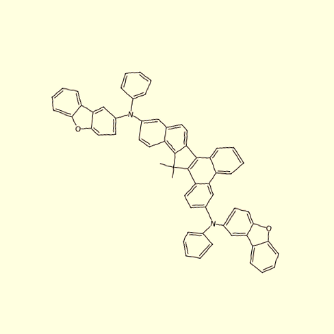 CC1(C)c2c(ccc3cc(N(c4ccccc4)c4ccc5oc6ccccc6c5c4)ccc23)-c2c1c1ccc(N(c3ccccc3)c3ccc4oc5ccccc5c4c3)cc1c1ccccc21